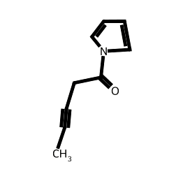 CC#CCC(=O)n1cccc1